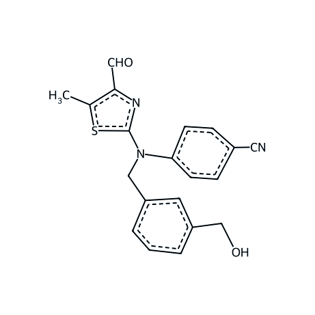 Cc1sc(N(Cc2cccc(CO)c2)c2ccc(C#N)cc2)nc1C=O